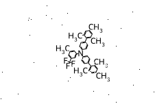 Cc1cc(N(c2ccc(-c3c(C)cc(C)cc3C)cc2)c2ccc(-c3c(C)cc(C)cc3C)cc2)cc(C(F)(F)F)c1